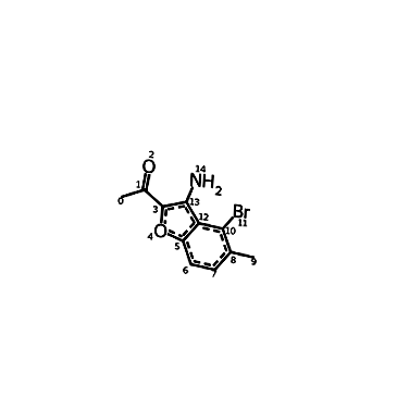 CC(=O)c1oc2ccc(C)c(Br)c2c1N